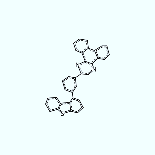 c1cc(-c2cnc3c4ccccc4c4ccccc4c3n2)cc(-c2cccc3sc4ccccc4c23)c1